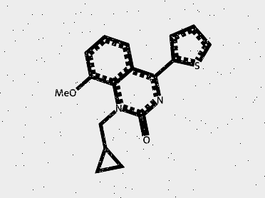 COc1cccc2c(-c3cccs3)nc(=O)n(CC3CC3)c12